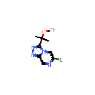 CCOC(C)(C)c1nnc2cnc(Cl)cn12